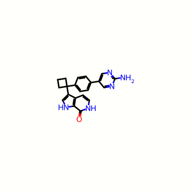 Nc1ncc(-c2ccc(C3(c4c[nH]c5c(=O)[nH]ccc45)CCC3)cc2)cn1